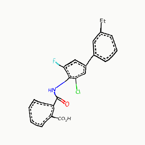 CCc1cccc(-c2cc(F)c(NC(=O)c3ccccc3C(=O)O)c(Cl)c2)c1